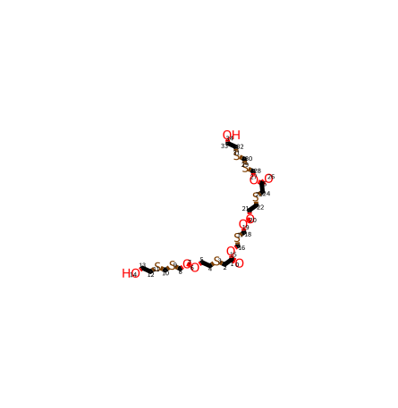 O=C(CSCCOOCSCSCCO)OCSCOOCCSCC(=O)OCSCSCCO